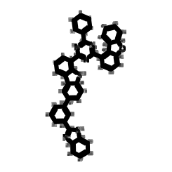 c1ccc(-c2nc(-c3cccc4c3sc3ccc(-c5cccc(-c6nc7ccccc7s6)c5)cc34)nc(-c3cccc4oc5ccccc5c34)n2)cc1